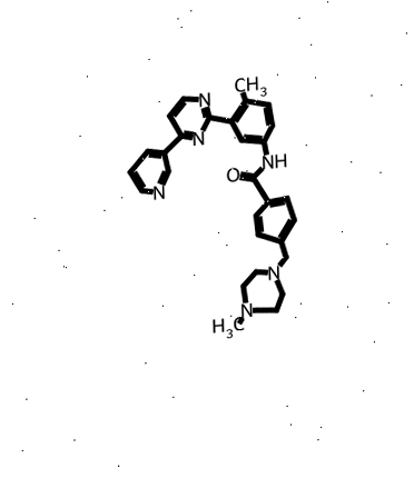 Cc1ccc(NC(=O)c2ccc(CN3CCN(C)CC3)cc2)cc1-c1nccc(-c2cccnc2)n1